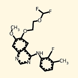 COc1cc2ncnc(Nc3cccc(C)c3F)c2cc1OCCOC(F)F